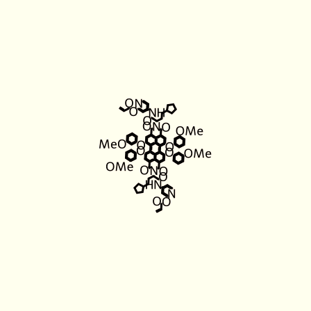 C=CC(=O)Oc1cc(NC(=O)C(CCC2CCCC2)N2C(=O)c3cc(Oc4cccc(OC)c4)c4c5c(Oc6cccc(OC)c6)cc6c7c(cc(Oc8cccc(OC)c8)c(c8c(Oc9cccc(OC)c9)cc(c3c48)C2=O)c75)C(=O)N(C(CCC2CCCC2)C(=O)Nc2ccnc(OC(=O)C=C)c2)C6=O)ccn1